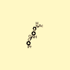 CC(=O)CNC1CCN(c2ccc(NC(=O)COc3ccc(C(C)C)cc3)cc2)C1